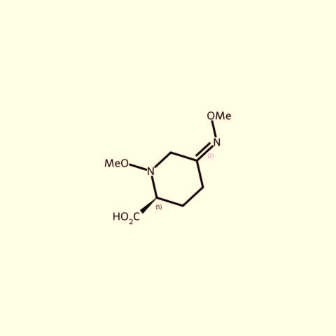 CO/N=C1/CC[C@@H](C(=O)O)N(OC)C1